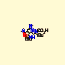 CN(C)C(=O)c1cc(N(C)C)nc(CC(NC(=O)O)C(C)(C)C)c1C(=N)[S+]([O-])C(C)(C)C